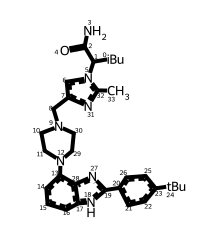 CCC(C)C(C(N)=O)n1cc(CN2CCN(c3cccc4[nH]c(-c5ccc(C(C)(C)C)cc5)nc34)CC2)nc1C